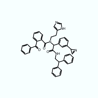 O=C(c1ccccc1)c1ccccc1C(=O)N(CCc1cnc[nH]1)C(C(=O)NCC(c1ccccc1)c1ccccc1)c1cccc(C2C=N2)c1